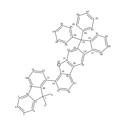 CC1(C)c2ccccc2-c2cccc(-c3cccc4c3oc3cc5c(cc34)-c3ccccc3C5(c3ccccc3)c3ccccc3)c21